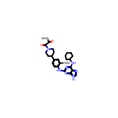 CNC(=O)C(=O)N1CCC(c2ccc(Nc3nc(NC4CCCCC4)c4nc[nH]c4n3)c(OC)c2)CC1